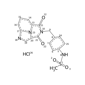 CS(=O)(=O)Nc1ccc(Cn2c(=O)c3cccc4ncc(c2=O)n43)cc1.Cl